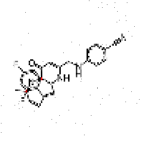 CC1=N/C2C(=O)C=C(CNc3ccc(C#N)cc3)NC2/C=C(c2ccc(F)cc2F)/C=C\1